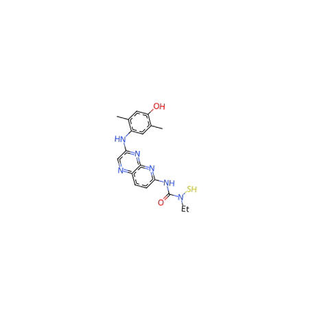 CCN(S)C(=O)Nc1ccc2ncc(Nc3cc(C)c(O)cc3C)nc2n1